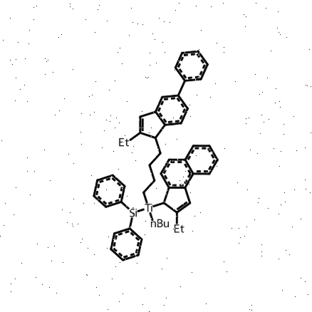 CCC[CH2][Ti]([CH2]CCCC1C(CC)=Cc2cc(-c3ccccc3)ccc21)([CH]1C(CC)=Cc2c1ccc1ccccc21)[Si](c1ccccc1)c1ccccc1